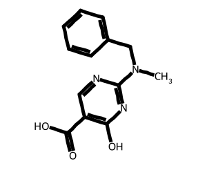 CN(Cc1ccccc1)c1ncc(C(=O)O)c(O)n1